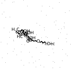 C#C[C@@]1(c2ccc3c(C)ncnn23)O[C@H](COP(=O)(O)OCCCCOCCCCCCCCCCCCCC)[C@@H](O)[C@H]1O